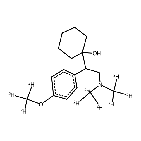 [2H]C([2H])([2H])Oc1ccc(C(CN(C([2H])([2H])[2H])C([2H])([2H])[2H])C2(O)CCCCC2)cc1